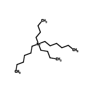 CCCCC[CH2][Sn]([CH2]CCC)([CH2]CCC)[CH2]CCCCC